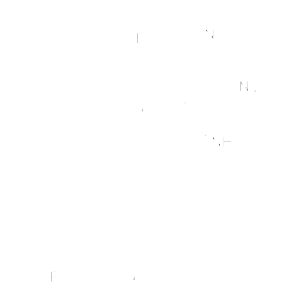 CCc1ncnc(NCCc2ccc(C(F)(F)F)cc2)c1Cl